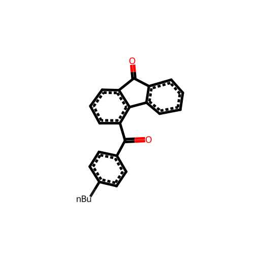 CCCCc1ccc(C(=O)c2cccc3c2-c2ccccc2C3=O)cc1